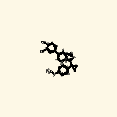 COc1ccc(C2(c3nnc4nc(-c5ccc(Cl)c(Cl)c5)cnn34)CC2)cc1